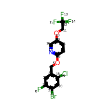 Fc1cc(COc2ccc(OCC(F)(F)F)cn2)c(Cl)cc1Br